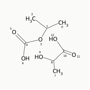 CC(C)OC(=O)O.CC(O)C(=O)O